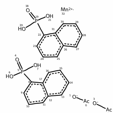 CC(=O)[O-].CC(=O)[O-].O=P(O)(O)c1cccc2ccccc12.O=P(O)(O)c1cccc2ccccc12.[Mn+2]